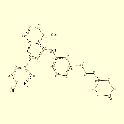 Nc1ncc(-c2cc3c(c(Nc4cccc(OCCN5CCOCC5)c4)n2)C(=O)[N]C=C3)cn1